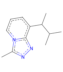 Cc1nnc2c(C(C)C(C)C)cccn12